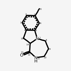 Cc1ccc2c(c1)N1CCCNC(=O)C1C2